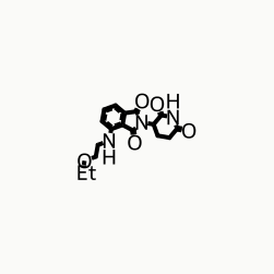 [CH2]COCCNc1cccc2c1C(=O)N(C1CCC(=O)NC1=O)C2=O